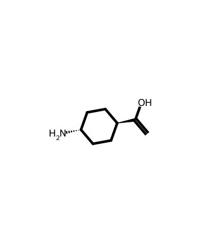 C=C(O)[C@H]1CC[C@H](N)CC1